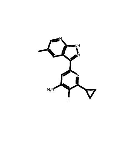 Cc1cnc2[nH]nc(-c3cc(N)c(F)c(C4CC4)n3)c2c1